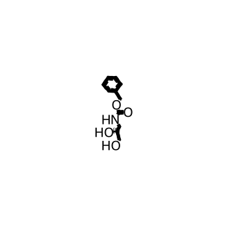 O=C(NC[C@H](O)CO)OCc1ccccc1